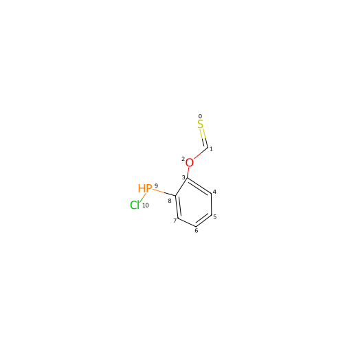 S=COc1ccccc1PCl